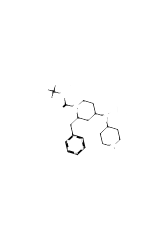 CN(C1CCNCC1)C1CCN(C(=O)OC(C)(C)C)C(Cc2ccccc2)C1